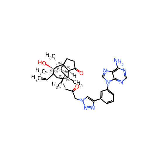 C=C[C@]1(C)C[C@@H](CC(=O)Cn2cc(-c3cccc(-n4cnc5c(N)ncnc54)c3)nn2)[C@]2(C)[C@H](C)CC[C@]3(CCC(=O)[C@H]32)[C@@H](C)[C@@H]1O